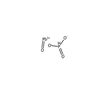 O=[PH]([O-])[O-].[O]=[Pb+2]